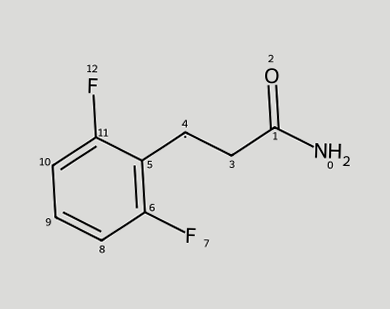 NC(=O)C[CH]c1c(F)cccc1F